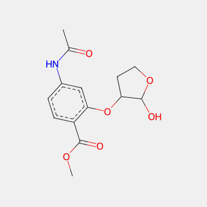 COC(=O)c1ccc(NC(C)=O)cc1OC1CCOC1O